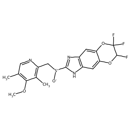 COc1c(C)cnc(C[S+]([O-])c2nc3cc4c(cc3[nH]2)OC(F)C(F)(F)O4)c1C